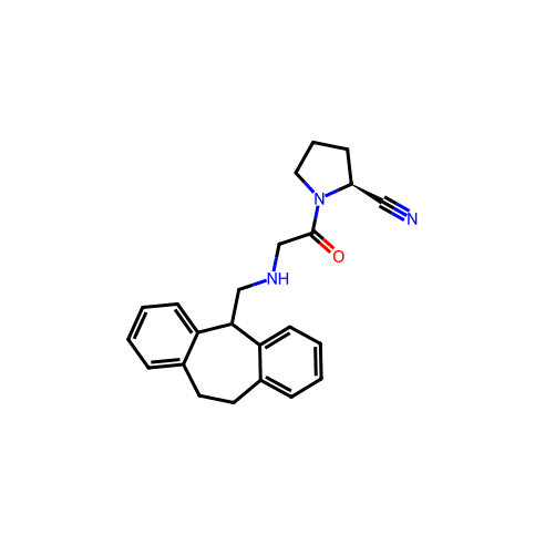 N#C[C@@H]1CCCN1C(=O)CNCC1c2ccccc2CCc2ccccc21